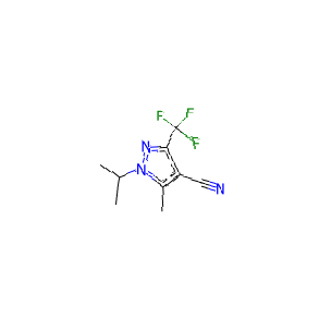 Cc1c(C#N)c(C(F)(F)F)nn1C(C)C